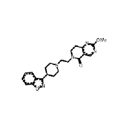 COc1ncc2c(n1)CCN(CCN1CCC(c3noc4ccccc34)CC1)C2=O